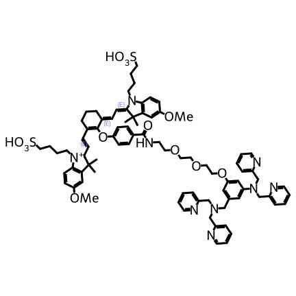 COc1ccc2c(c1)C(C)(C)C(/C=C/C1=C(Oc3ccc(C(=O)NCCOCCOCCOc4cc(CN(Cc5ccccn5)Cc5ccccn5)cc(N(Cc5ccccn5)Cc5ccccn5)c4)cc3)C(=C/C=C3/N(CCCCS(=O)(=O)O)c4ccc(OC)cc4C3(C)C)/CCC1)=[N+]2CCCCS(=O)(=O)O